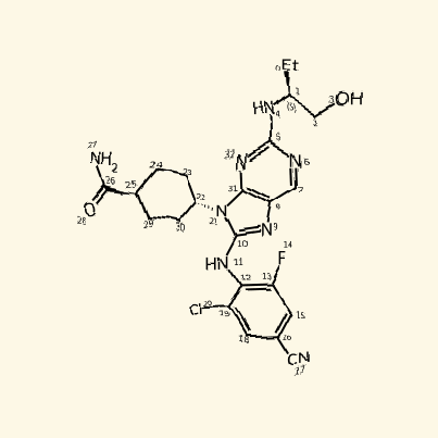 CC[C@@H](CO)Nc1ncc2nc(Nc3c(F)cc(C#N)cc3Cl)n([C@H]3CC[C@H](C(N)=O)CC3)c2n1